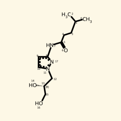 CC(C)CCC(=O)Nc1ccn(C[C@@H](O)CO)n1